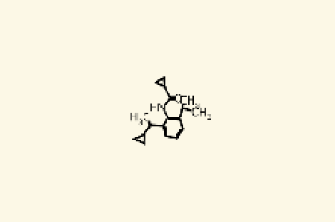 CC(C)c1cccc(C(C)C2CC2)c1NC(=O)C1CC1